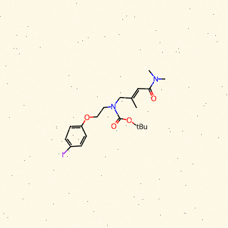 C/C(=C\C(=O)N(C)C)CN(CCOc1ccc(I)cc1)C(=O)OC(C)(C)C